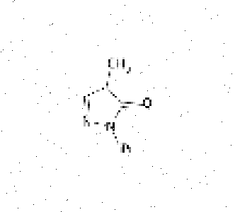 CC1C=NN(C(C)C)C1=O